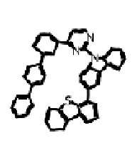 C1=Cc2sc3c(-c4ccc5c(c4)c4ccccc4n5-c4nccc(-c5cccc(-c6ccc(-c7ccccc7)cc6)c5)n4)cccc3c2CC1